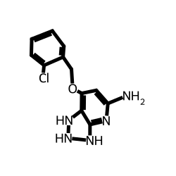 Nc1cc(OCc2ccccc2Cl)c2c(n1)NNN2